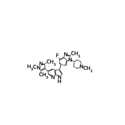 Cc1nn(C)c(C)c1-c1cnc2[nH]cc(-c3cc(F)c4nc(C)n(C5CCN(C)CC5)c4c3)c2c1